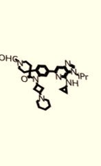 CC(C)n1cnc2cc(-c3ccc4c(c3)N(C3CC(N5CCCCC5)C3)C(=O)C43CCN(C=O)CC3)nc(NC3CC3)c21